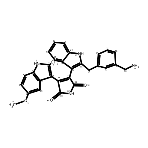 COc1ccc2[nH]c(C)c(C3=C(c4c(Cc5cccc(CN)c5)[nH]c5ccccc45)C(=O)NC3=O)c2c1